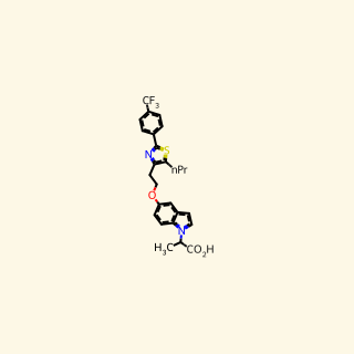 CCCc1sc(-c2ccc(C(F)(F)F)cc2)nc1CCOc1ccc2c(ccn2C(C)C(=O)O)c1